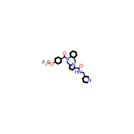 O=C(NCc1cccnc1)c1ccc2n1Cc1ccccc1N(C(=O)c1ccc(OC(F)(F)F)cc1)C2